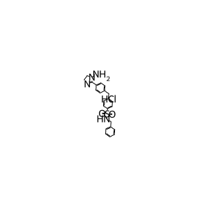 Cl.NN1CCN=C1c1ccc(Cc2ccc(S(=O)(=O)NCc3ccccc3)cc2)cc1